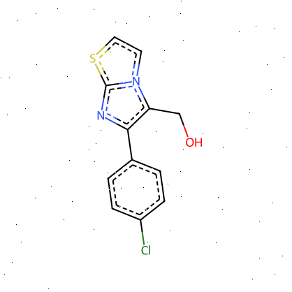 OCc1c(-c2ccc(Cl)cc2)nc2sccn12